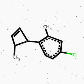 Cc1cc(Cl)ccc1C1C=CC1C(F)(F)F